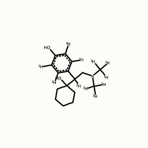 [2H]c1c([2H])c(C([2H])(CN(C([2H])([2H])[2H])C([2H])([2H])[2H])C2(O)CCCCC2)c([2H])c([2H])c1O